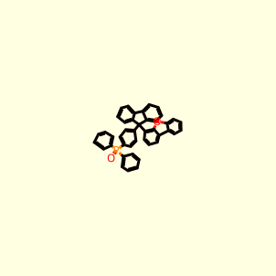 O=P(c1ccccc1)(c1ccccc1)c1ccc(C2(c3cccc4c3oc3ccccc34)c3ccccc3-c3ccccc32)cc1